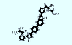 COC(=O)N[C@H](C(=O)N1CCC(c2nc3cc(-c4ccc(-c5c[nH]c([C@@H]6CCCN6C(=O)[C@@H](C)C(C)C)n5)cc4)ccc3[nH]2)C1)C(C)C